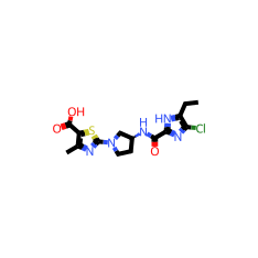 CCc1[nH]c(C(=O)N[C@H]2CCN(c3nc(C)c(C(=O)O)s3)C2)nc1Cl